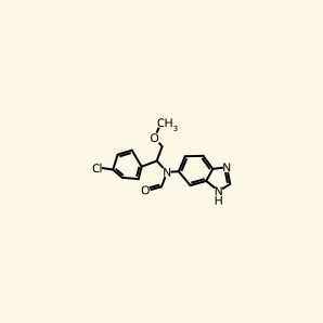 COCC(c1ccc(Cl)cc1)N(C=O)c1ccc2nc[nH]c2c1